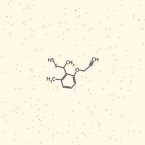 C#CCOc1cccc(C)c1C(C)SS